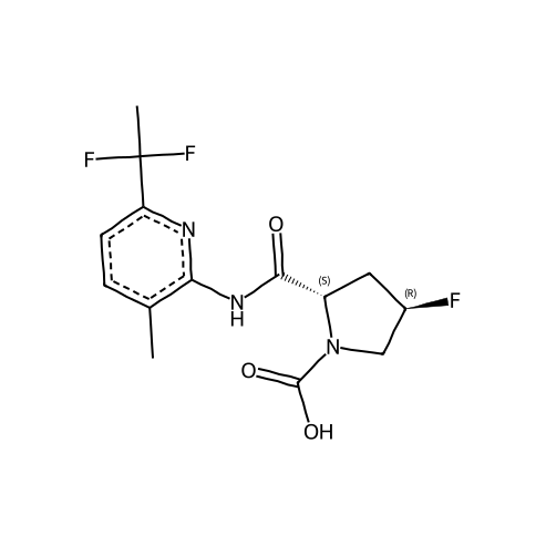 Cc1ccc(C(C)(F)F)nc1NC(=O)[C@@H]1C[C@@H](F)CN1C(=O)O